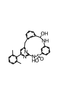 Cc1cccc(C)c1-c1cc2nc(n1)NS(=O)(=O)c1cccc(c1)NC(O)c1cccc(c1)C2